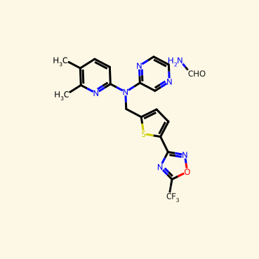 Cc1ccc(N(Cc2ccc(-c3noc(C(F)(F)F)n3)s2)c2cnccn2)nc1C.NC=O